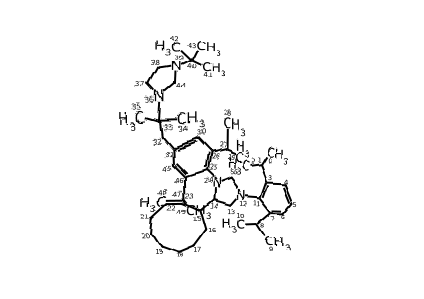 CC(C)c1cccc(C(C)C)c1N1CC(C2CCCCCCCC2)N(c2c(C(C)C)cc(CC(C)(C)N3CCN(C(C)(C)C)C3)cc2C(C)C)C1